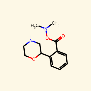 CN(C)OC(=O)c1ccccc1C1CNCCO1